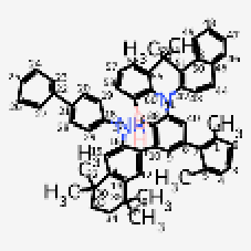 Cc1cccc(C)c1-c1cc(-c2cc3c(cc2Nc2ccc(-c4ccccc4)cc2)C(C)(C)CCC3(C)C)c2c(c1)N1c3ccc4ccccc4c3C(C)(C)c3cccc(c31)B2